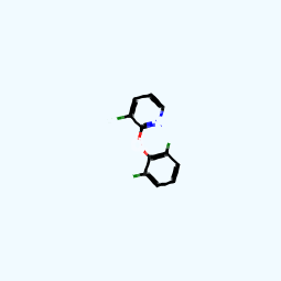 Fc1cccc(F)c1Oc1ncccc1Br